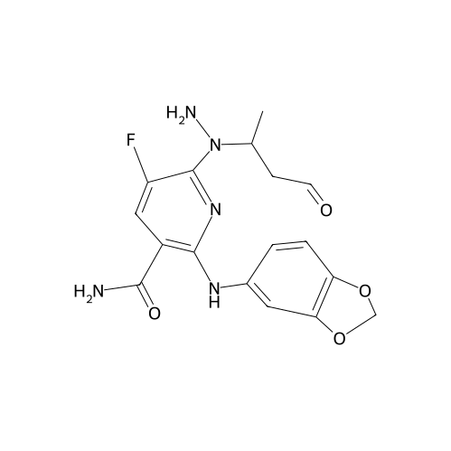 CC(CC=O)N(N)c1nc(Nc2ccc3c(c2)OCO3)c(C(N)=O)cc1F